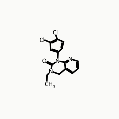 CCN1Cc2cccnc2N(c2ccc(Cl)c(Cl)c2)C1=O